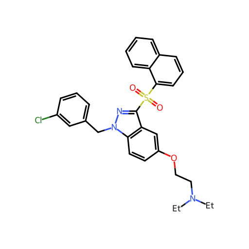 CCN(CC)CCOc1ccc2c(c1)c(S(=O)(=O)c1cccc3ccccc13)nn2Cc1cccc(Cl)c1